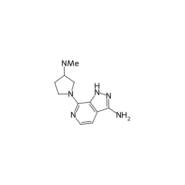 CNC1CCN(c2nccc3c(N)n[nH]c23)C1